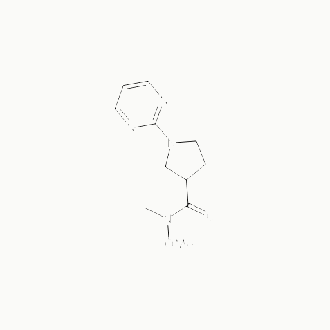 CON(C)C(=O)C1CCN(c2ncccn2)C1